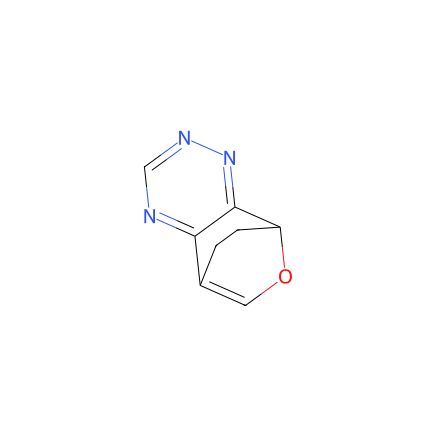 C1=C2CCC(O1)c1nncnc12